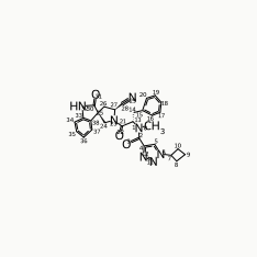 CN(C(=O)c1cn(C2CCC2)nn1)[C@@H](Cc1ccccc1)C(=O)N1C[C@]2(C[C@H]1C#N)C(=O)Nc1ccccc12